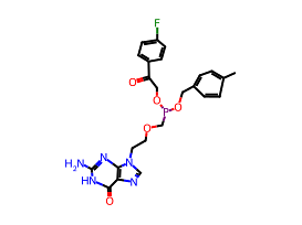 Cc1ccc(COP(COCCn2cnc3c(=O)[nH]c(N)nc32)OCC(=O)c2ccc(F)cc2)cc1